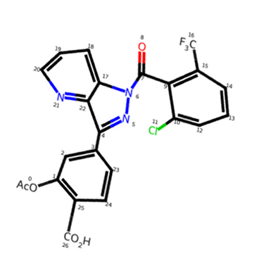 CC(=O)Oc1cc(-c2nn(C(=O)c3c(Cl)cccc3C(F)(F)F)c3cccnc23)ccc1C(=O)O